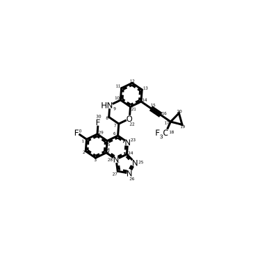 Fc1ccc2c(c(C3CNc4cccc(C#CC5(C(F)(F)F)CC5)c4O3)nc3nncn32)c1F